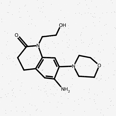 Nc1cc2c(cc1N1CCOCC1)N(CCO)C(=O)CC2